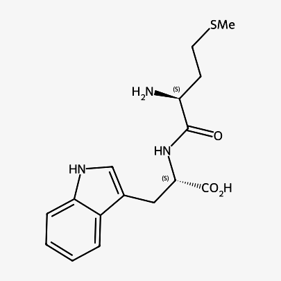 CSCC[C@H](N)C(=O)N[C@@H](Cc1c[nH]c2ccccc12)C(=O)O